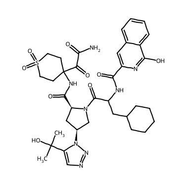 CC(C)(O)c1cnnn1[C@H]1C[C@@H](C(=O)NC2(C(=O)C(N)=O)CCS(=O)(=O)CC2)N(C(=O)C(CC2CCCCC2)NC(=O)c2cc3ccccc3c(O)n2)C1